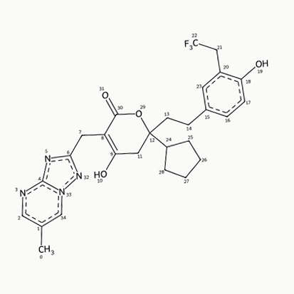 Cc1cnc2nc(CC3=C(O)CC(CCc4ccc(O)c(CC(F)(F)F)c4)(C4CCCC4)OC3=O)nn2c1